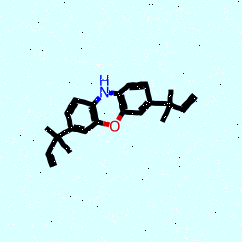 C=CC(C)(C)c1ccc2c(c1)Oc1cc(C(C)(C)C=C)ccc1N2